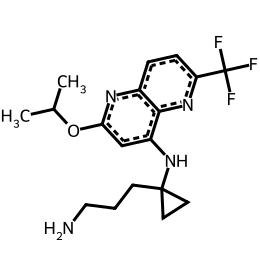 CC(C)Oc1cc(NC2(CCCN)CC2)c2nc(C(F)(F)F)ccc2n1